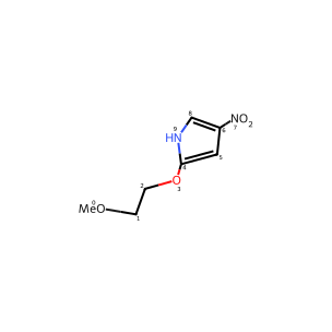 COCCOc1cc([N+](=O)[O-])c[nH]1